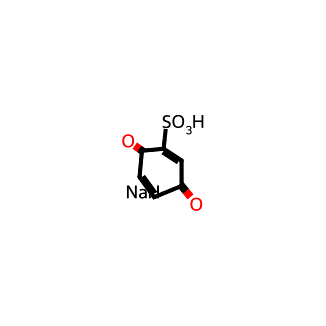 O=C1C=CC(=O)C(S(=O)(=O)O)=C1.[NaH]